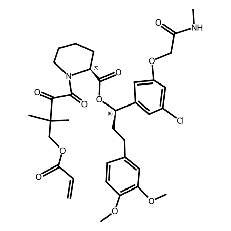 C=CC(=O)OCC(C)(C)C(=O)C(=O)N1CCCC[C@H]1C(=O)O[C@H](CCc1ccc(OC)c(OC)c1)c1cc(Cl)cc(OCC(=O)NC)c1